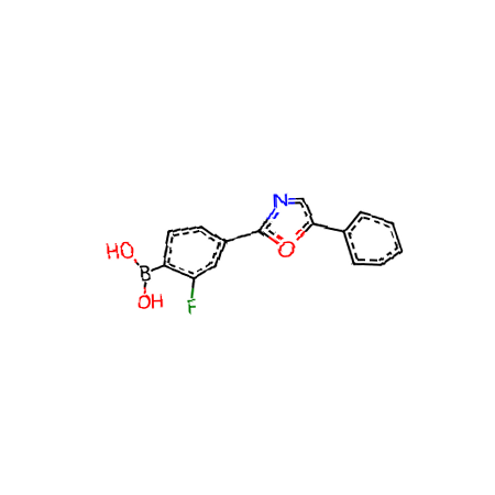 OB(O)c1ccc(-c2ncc(-c3ccccc3)o2)cc1F